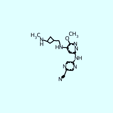 CNC1CC(CNc2cc(Nc3cnc(C#N)cn3)nnc2OC)C1